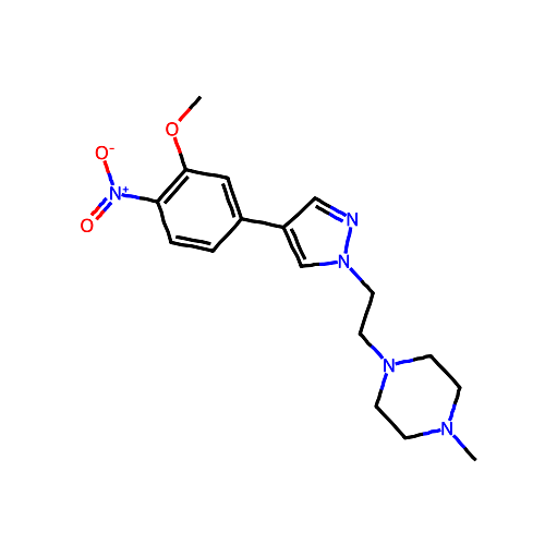 COc1cc(-c2cnn(CCN3CCN(C)CC3)c2)ccc1[N+](=O)[O-]